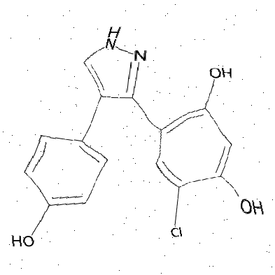 Oc1ccc(-c2c[nH]nc2-c2cc(Cl)c(O)cc2O)cc1